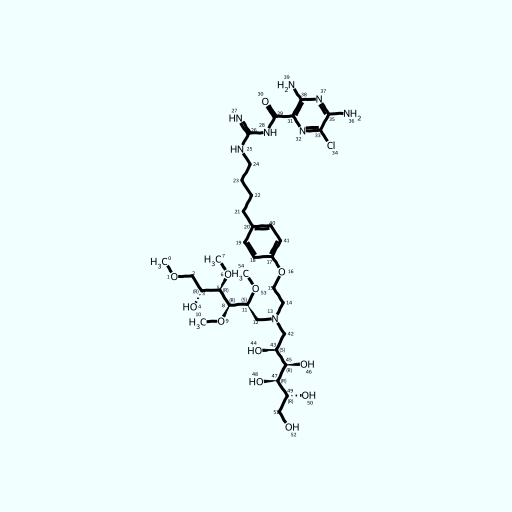 COC[C@@H](O)[C@@H](OC)[C@H](OC)[C@H](CN(CCOc1ccc(CCCCNC(=N)NC(=O)c2nc(Cl)c(N)nc2N)cc1)C[C@H](O)[C@@H](O)[C@H](O)[C@H](O)CO)OC